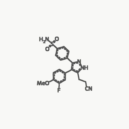 COc1ccc(-c2c(-c3ccc(S(N)(=O)=O)cc3)n[nH]c2CCC#N)cc1F